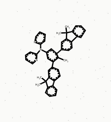 Cc1c(-c2ccc3c(c2)C(C)(C)c2ccccc2-3)cc(N(c2ccccn2)c2ccccn2)cc1-c1ccc2c(c1)C(C)(C)c1ccccc1-2